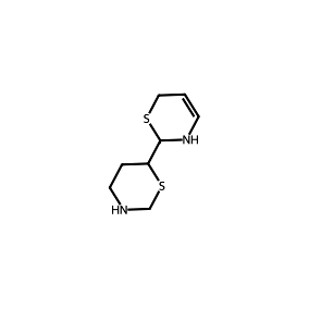 C1=CN[C](C2CCNCS2)SC1